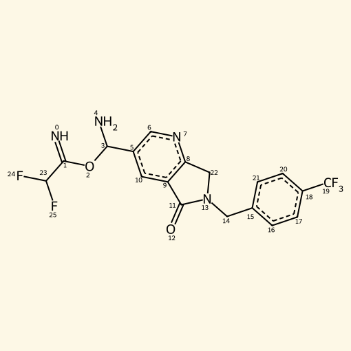 N=C(OC(N)c1cnc2c(c1)C(=O)N(Cc1ccc(C(F)(F)F)cc1)C2)C(F)F